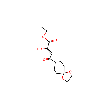 CCOC(=O)/C(O)=C/C(=O)C1CCC2(CC1)OCCO2